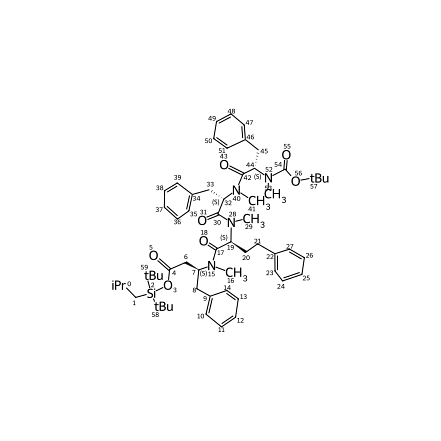 CC(C)C[Si](OC(=O)C[C@H](Cc1ccccc1)N(C)C(=O)[C@H](CCc1ccccc1)N(C)C(=O)[C@H](Cc1ccccc1)N(C)C(=O)[C@H](Cc1ccccc1)N(C)C(=O)OC(C)(C)C)(C(C)(C)C)C(C)(C)C